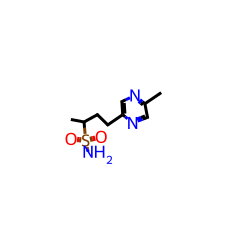 Cc1cnc(CCC(C)S(N)(=O)=O)cn1